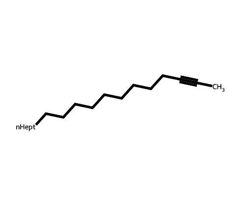 CC#CCCCCCCCCCCCCCCCC